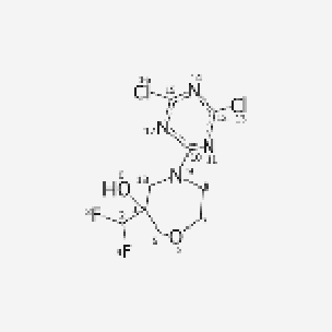 OC1(C(F)F)COCCN(c2nc(Cl)nc(Cl)n2)C1